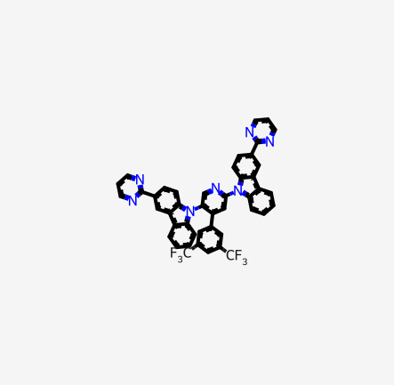 FC(F)(F)c1cc(-c2cc(-n3c4ccccc4c4cc(-c5ncccn5)ccc43)ncc2-n2c3ccccc3c3cc(-c4ncccn4)ccc32)cc(C(F)(F)F)c1